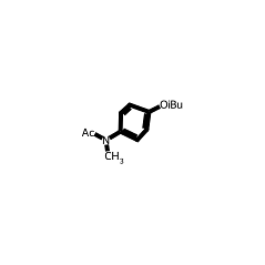 CC(=O)N(C)c1ccc(OCC(C)C)cc1